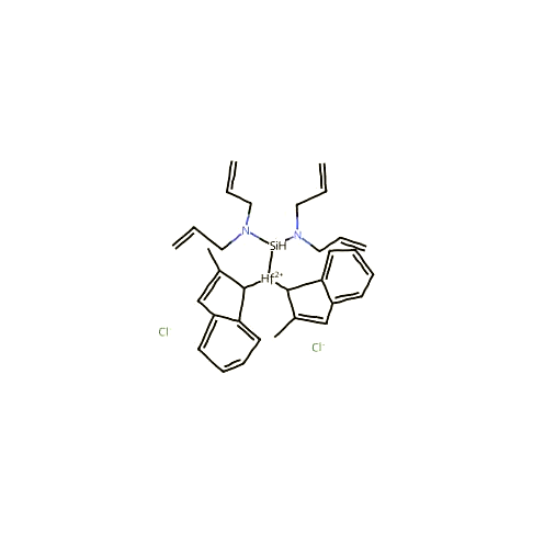 C=CCN(CC=C)[SiH](N(CC=C)CC=C)[Hf+2]([CH]1C(C)=Cc2ccccc21)[CH]1C(C)=Cc2ccccc21.[Cl-].[Cl-]